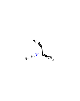 C=CC=C.[H+].[H+].[N-3]